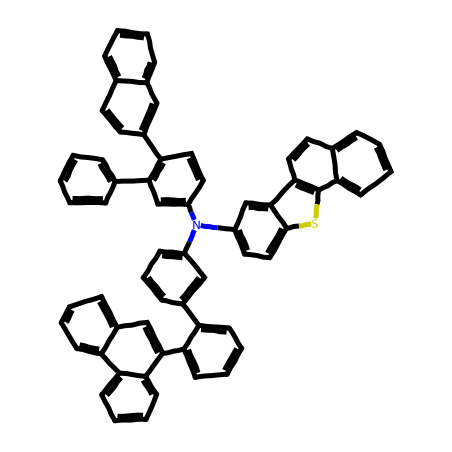 c1ccc(-c2cc(N(c3cccc(-c4ccccc4-c4cc5ccccc5c5ccccc45)c3)c3ccc4sc5c6ccccc6ccc5c4c3)ccc2-c2ccc3ccccc3c2)cc1